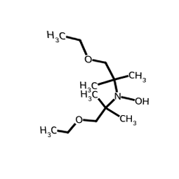 CCOCC(C)(C)N(O)C(C)(C)COCC